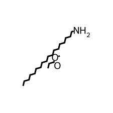 CCC(=O)OC.CCCCCCCCCCCCCCCCCCN